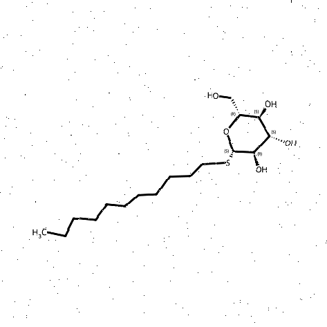 CCCCCCCCCCCS[C@@H]1O[C@H](CO)[C@@H](O)[C@H](O)[C@H]1O